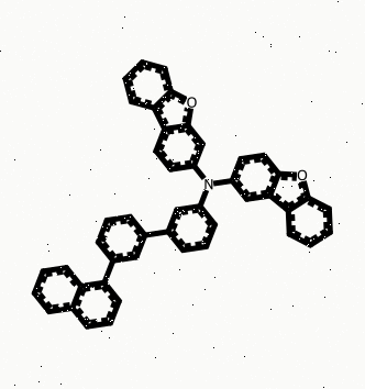 c1cc(-c2cccc(N(c3ccc4c(c3)oc3ccccc34)c3ccc4oc5ccccc5c4c3)c2)cc(-c2cccc3ccccc23)c1